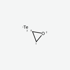 C1CO1.[Te]